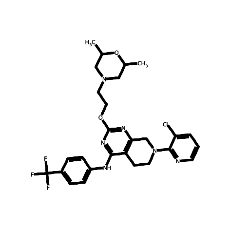 CC1CN(CCOc2nc3c(c(Nc4ccc(C(F)(F)F)cc4)n2)CCN(c2ncccc2Cl)C3)CC(C)O1